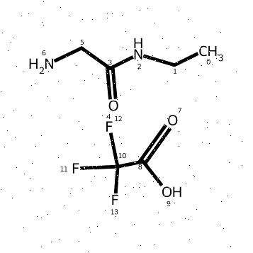 CCNC(=O)CN.O=C(O)C(F)(F)F